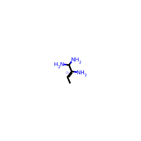 C/C=C(\N)C(N)N